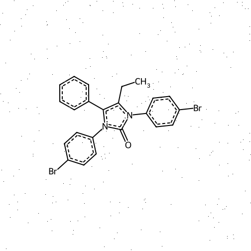 CCc1c(-c2ccccc2)n(-c2ccc(Br)cc2)c(=O)n1-c1ccc(Br)cc1